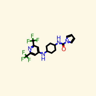 O=C(NC1CCC(Nc2cc(C(F)(F)F)nc(C(F)(F)F)c2)CC1)n1cccc1